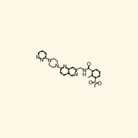 Cc1c(C(=O)NCc2cc3nc(N4CCN(c5cccnn5)CC4)ccc3cn2)cccc1S(C)(=O)=O